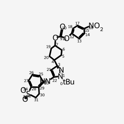 CC(C)(C)n1nc(C2CCC(OC(=O)Oc3ccc([N+](=O)[O-])cc3)CC2)cc1Nc1cccc2c1CCS2(=O)=O